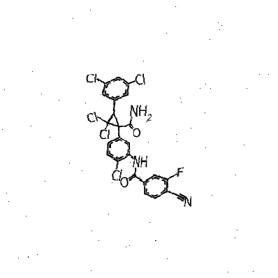 N#Cc1ccc(C(=O)Nc2cc(C3(C(N)=O)C(c4cc(Cl)cc(Cl)c4)C3(Cl)Cl)ccc2Cl)cc1F